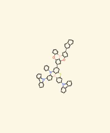 c1ccc(N2c3cc(-n4c5ccccc5c5ccccc54)ccc3B3c4ccc(-n5c6ccccc6c6ccccc65)cc4Sc4cc(-c5cc6c7c(c5)Oc5ccc(-c8ccc9ccccc9c8)cc5B7c5ccccc5O6)cc2c43)cc1